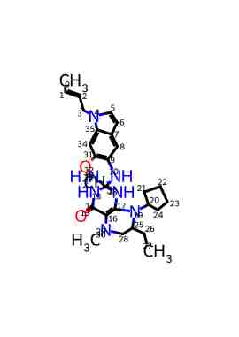 CC=CCn1ccc2cc(NC3(N)NC(=O)C4=C(N3)N(C3CCCC3)C(CC)CN4C)c(OC)cc21